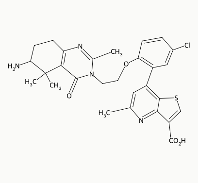 Cc1cc(-c2cc(Cl)ccc2OCCn2c(C)nc3c(c2=O)C(C)(C)C(N)CC3)c2scc(C(=O)O)c2n1